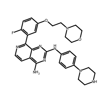 Nc1nc(Nc2ccc(N3CCNCC3)cc2)nc2c(-c3cc(OCCN4CCOCC4)ccc3F)nccc12